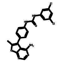 Cc1oc2ncnc(N)c2c1-c1ccc(NC(=O)Nc2cc(Cl)cc(Cl)c2)cc1